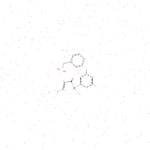 [2H]C1(c2cc(Cl)cc(Cl)c2)OC(N)=C(OS(=O)(=O)Cc2ccccc2)C1=O